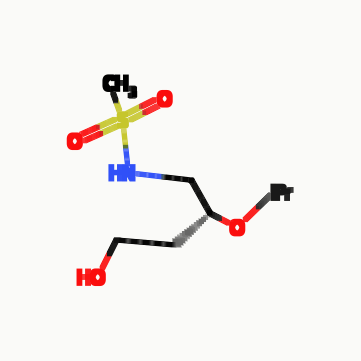 CC(C)O[C@H](CCO)CNS(C)(=O)=O